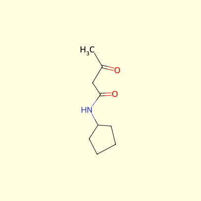 CC(=O)CC(=O)NC1CCCC1